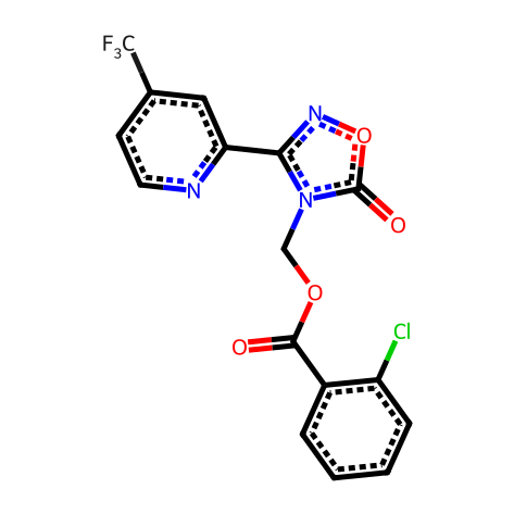 O=C(OCn1c(-c2cc(C(F)(F)F)ccn2)noc1=O)c1ccccc1Cl